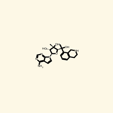 CC(O)(c1cccc2c1CNCC2)[C@H]1O[C@@H](n2ccc3c(N)ncnc32)[C@H](O)[C@]1(C)O